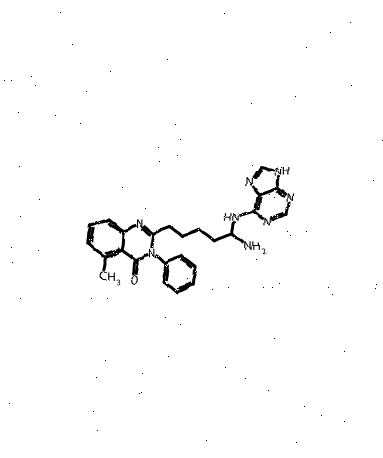 Cc1cccc2nc(CCCCC(N)Nc3ncnc4[nH]cnc34)n(-c3ccccc3)c(=O)c12